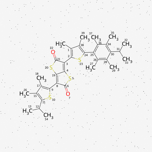 Cc1c(C2=C3SC(=O)C(c4sc(C(C)C)c(C)c4C)=C3SC2=O)sc(-c2c(C)c(C)c(C(C)C)c(C)c2C)c1C